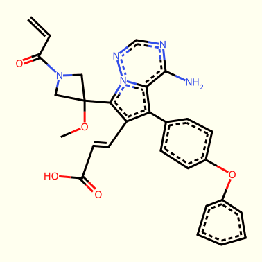 C=CC(=O)N1CC(OC)(c2c(/C=C/C(=O)O)c(-c3ccc(Oc4ccccc4)cc3)c3c(N)ncnn23)C1